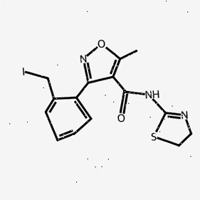 Cc1onc(-c2ccccc2CI)c1C(=O)NC1=NCCS1